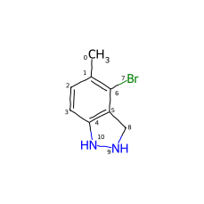 Cc1ccc2c(c1Br)CNN2